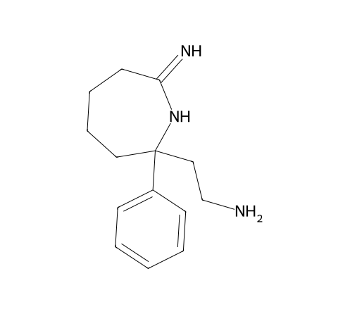 N=C1CCCCC(CCN)(c2ccccc2)N1